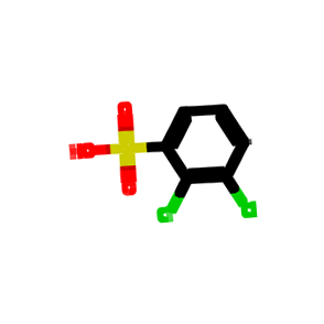 O=S(=O)(O)c1cc[c]c(Cl)c1Cl